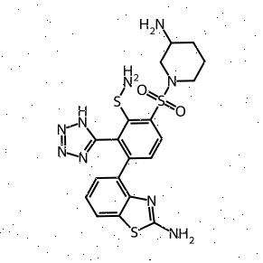 NSc1c(S(=O)(=O)N2CCCC(N)C2)ccc(-c2cccc3sc(N)nc23)c1-c1nnn[nH]1